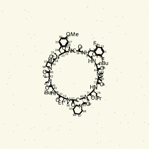 CCCC[C@@H]1NC(=O)[C@H](Cc2cc(F)ccc2F)NC(=O)CN(C)C(=O)[C@H](Cc2ccc(OC)cc2)N(C)C(=O)[C@@H]2CCN2C(=O)[C@H](C)N(C)C(=O)[C@H]([C@@H](C)CC)NC(=O)[C@H](CC)N(C)C(=O)C[C@@H](C(=O)N2CCCCC2)N(C)C(=O)[C@H](CC(C)C)NC(=O)C(C)(C)N(C)C1=O